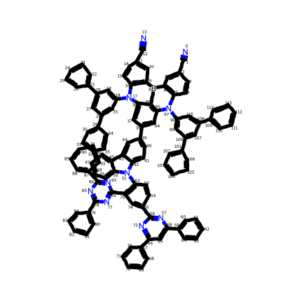 N#Cc1ccc2c(c1)B1c3cc(C#N)ccc3N(c3cc(-c4ccccc4)cc(-c4ccccc4)c3)c3cc(-c4ccc5c(c4)c4ccccc4n5-c4ccc(-c5nc(-c6ccccc6)cc(-c6ccccc6)n5)cc4-c4nc(-c5ccccc5)nc(-c5ccccc5)n4)cc(c31)N2c1cc(-c2ccccc2)cc(-c2ccccc2)c1